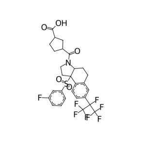 O=C(O)C1CCC(C(=O)N2CCC3(S(=O)(=O)c4cccc(F)c4)c4ccc(C(F)(C(F)(F)F)C(F)(F)F)cc4CCC23)C1